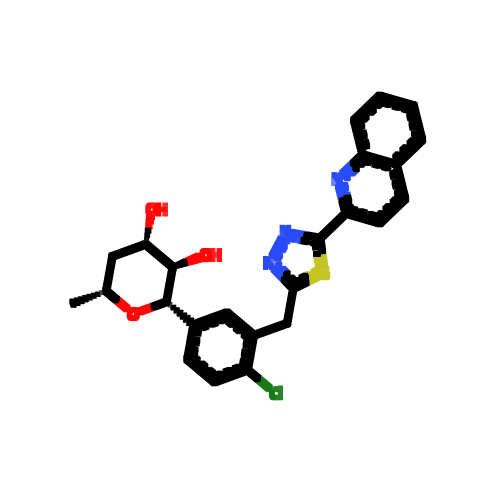 C[C@@H]1C[C@H](O)[C@@H](O)[C@H](c2ccc(Cl)c(Cc3nnc(-c4ccc5ccccc5n4)s3)c2)O1